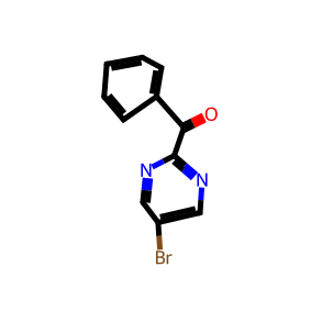 O=C(c1ccccc1)c1ncc(Br)cn1